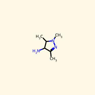 CC1=NN(C)C(C)C1N